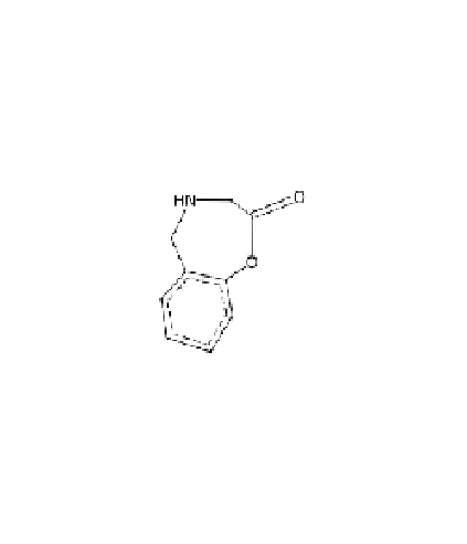 O=C1CNCc2ccccc2O1